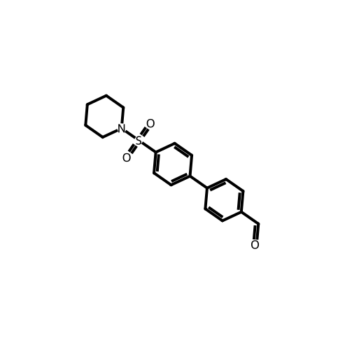 O=Cc1ccc(-c2ccc(S(=O)(=O)N3CCCCC3)cc2)cc1